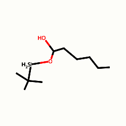 CCCCCC(O)O[SiH2]C(C)(C)C